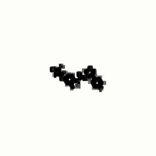 Cc1cc(OC(F)(F)C(F)Cl)ccc1NC(=O)NN1CON=C1c1ccc(F)cc1